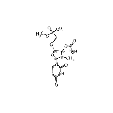 COP(=O)(O)CO[C@H]1O[C@@H](n2ccc(=O)[nH]c2=O)[C@H](C)[C@@H]1O[PH](=O)O